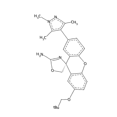 Cc1nn(C)c(C)c1-c1ccc2c(c1)[C@@]1(COC(N)=N1)c1cc(OCC(C)(C)C)ccc1O2